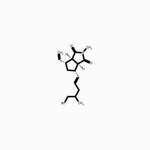 C=C[C@H]1C[C@@H](/C=C/CC(C)CC(C)C)[C@@H]2C(=O)N(C)C(=O)[C@@H]21